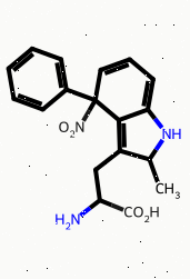 CC1NC2=CC=CC(c3ccccc3)([N+](=O)[O-])C2=C1CC(N)C(=O)O